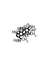 C/C(=N/O)c1ccc(O)c2c1C[C@H]1C[C@@H]3[C@@H](N(C)C)C(O)=C(C(N)=O)C(=O)[C@@]3(O)C(O)=C1C2=O